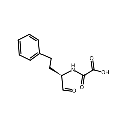 O=C[C@@H](CCc1ccccc1)NC(=O)C(=O)O